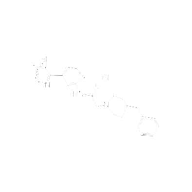 Cl.O=C(CN1CCC(Cc2ccccc2)CC1)Nc1cccc(-c2nnn[nH]2)c1